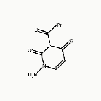 CC(C)C(=O)n1c(=O)ccn(N)c1=O